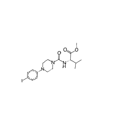 COC(=O)[C@@H](NC(=O)N1CCN(c2ccc(I)cc2)CC1)C(C)C